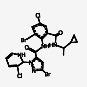 CC(NC(=O)c1cc(Cl)cc(Br)c1NC(=O)c1cc(Br)nn1C1NC=CC=C1Cl)C1CC1